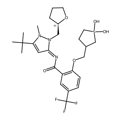 Cn1c(C(C)(C)C)cc(=NC(=O)c2cc(C(F)(F)F)ccc2OCC2CCS(O)(O)C2)n1C[C@H]1CCCO1